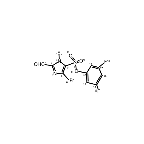 CCn1c(C=O)nc(C(C)C)c1S(=O)(=O)Oc1cc(F)cc(F)c1